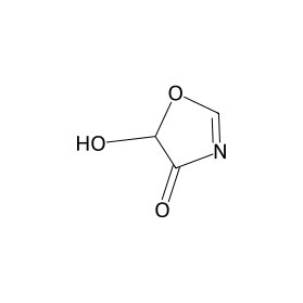 O=C1N=COC1O